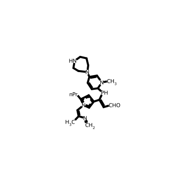 C=N/C(C)=C\n1cc(/C(=C/C=O)PC2C=CC(N3CCCNCC3)=CN2C)cc1CCC